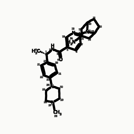 C[C@H](NC(=O)c1ccc(N2C3CCC2CC(N)C3)nc1)c1ccc(N2CCN(C)CC2)cc1